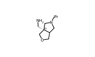 CC(C)N1CC2COC[C@@]2(CN)C1